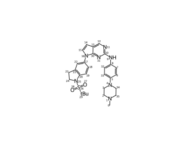 CN1CCN(c2ccc(Nc3ncc4ccn(-c5ccc6c(c5)CCN6S(=O)(=O)C(C)(C)C)c4n3)cc2)CC1